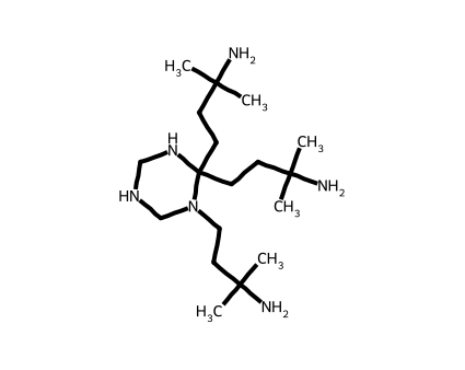 CC(C)(N)CCN1CNCNC1(CCC(C)(C)N)CCC(C)(C)N